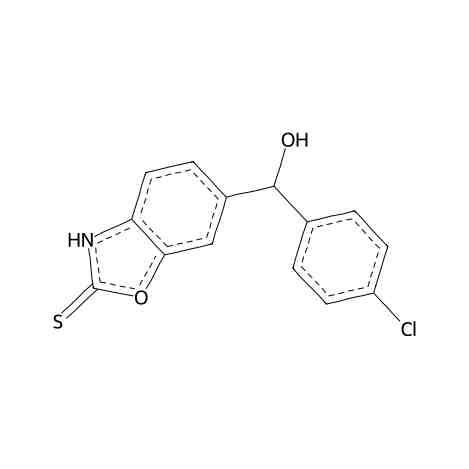 OC(c1ccc(Cl)cc1)c1ccc2[nH]c(=S)oc2c1